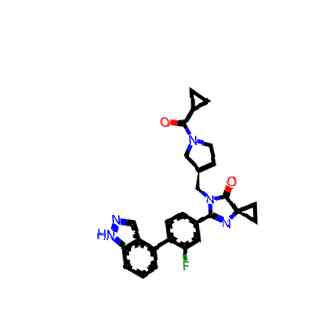 O=C(C1CC1)N1CC[C@@H](CN2C(=O)C3(CC3)N=C2c2ccc(-c3cccc4[nH]ncc34)c(F)c2)C1